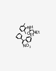 CCN(CC)CC(=O)Nc1c(C)cccc1C.O=[N+]([O-])C=C(c1ccccc1)c1ccccc1